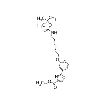 CCOC(=O)c1coc(-c2ccnc(OCCCCCCNC(=O)OC(C)(C)C)c2)n1